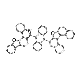 c1ccc2c(c1)ccc1oc3c(-c4c5ccccc5c(-c5nc6ccccc6c6c5ccc5c7ccccc7oc56)c5ccccc45)cc4ccccc4c3c12